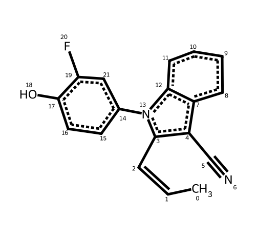 C/C=C\c1c(C#N)c2ccccc2n1-c1ccc(O)c(F)c1